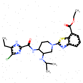 CCOC(=O)c1cccc2nc(N3CCC(NC(=O)c4nc(Cl)c(CC)[nH]4)C(NC(C)C)C3)sc12